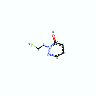 O=c1cc[c]nn1CCF